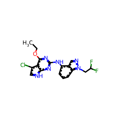 CCOc1nc(Nc2cccc3c2cnn3CC(F)F)nc2[nH]cc(Cl)c12